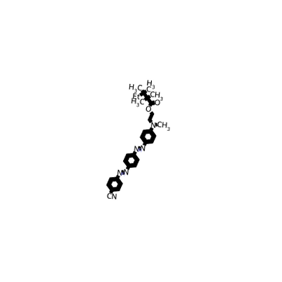 CCC(C)(C)C(C)(C)C(=O)OCCN(C)c1ccc(/N=N/c2ccc(/N=N/c3ccc(C#N)cc3)cc2)cc1